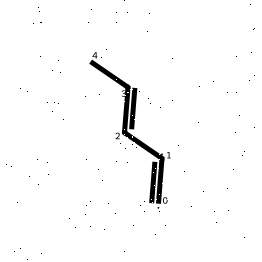 [CH]=[C]/C=C/C